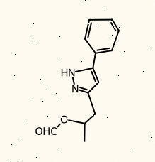 CC(Cc1cc(-c2ccccc2)[nH]n1)OC=O